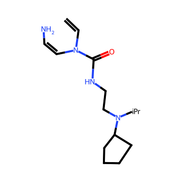 C=CN(/C=C\N)C(=O)NCCN(C(C)C)C1CCCC1